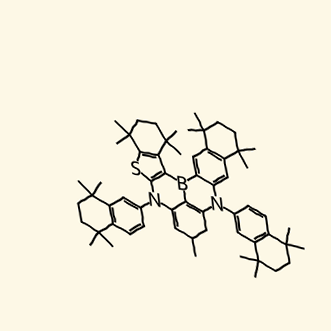 CC1C=C2C3=C(C1)N(c1ccc4c(c1)C(C)(C)CCC4(C)C)c1cc4c(cc1B3c1c(sc3c1C(C)(C)CCC3(C)C)N2c1ccc2c(c1)C(C)(C)CCC2(C)C)C(C)(C)CCC4(C)C